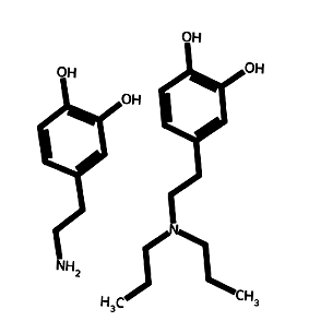 CCCN(CCC)CCc1ccc(O)c(O)c1.NCCc1ccc(O)c(O)c1